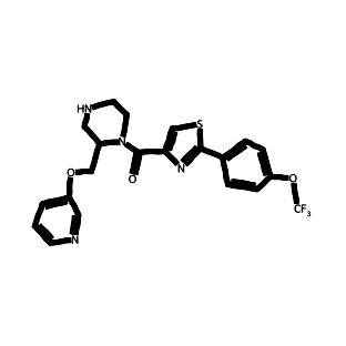 O=C(c1csc(-c2ccc(OC(F)(F)F)cc2)n1)N1CCNCC1COc1cccnc1